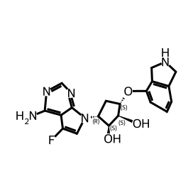 Nc1ncnc2c1c(F)cn2[C@@H]1C[C@H](Oc2cccc3c2CNC3)[C@@H](O)[C@H]1O